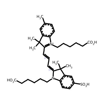 Cc1ccc2c(c1)C(C)(C)C(/C=C/C=C1/N(CCCCCC(=O)O)c3ccc(S(=O)(=O)O)cc3C1(C)C)=[N+]2CCCCCC(=O)O